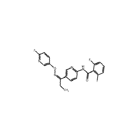 CCC(=NOc1ccc(F)nc1)c1ccc(NC(=O)c2c(F)cccc2F)nc1